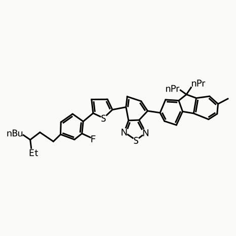 CCCCC(CC)CCc1ccc(-c2ccc(-c3ccc(-c4ccc5c(c4)C(CCC)(CCC)c4cc(C)ccc4-5)c4nsnc34)s2)c(F)c1